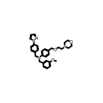 COc1cccc(CN(Cc2ccc(-n3cccn3)cc2)c2ccc(COCCN3CCOCC3)cc2)c1